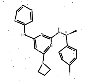 C[C@H](Nc1nc(Nc2cnccn2)cc(N2CCC2)n1)c1ccc(F)cc1